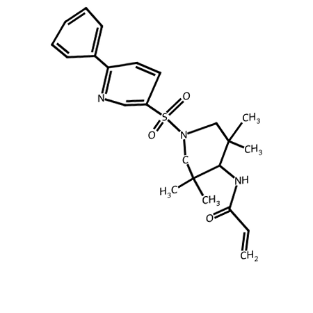 C=CC(=O)NC1C(C)(C)CN(S(=O)(=O)c2ccc(-c3ccccc3)nc2)CC1(C)C